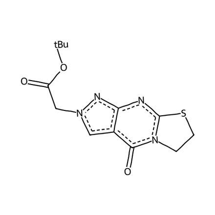 CC(C)(C)OC(=O)Cn1cc2c(=O)n3c(nc2n1)SCC3